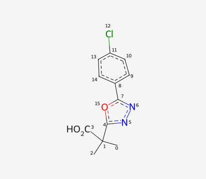 CC(C)(C(=O)O)c1nnc(-c2ccc(Cl)cc2)o1